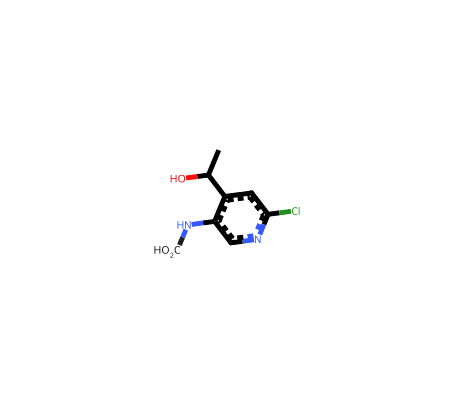 CC(O)c1cc(Cl)ncc1NC(=O)O